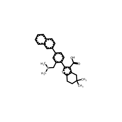 CN(C)Cc1cc(-c2ccc3ccccc3c2)ccc1-c1sc2c(c1C(=O)O)CC(C)(C)CC2